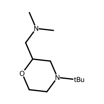 CN(C)CC1CN(C(C)(C)C)CCO1